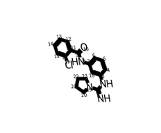 N=C(Nc1cccc(NC(=O)c2ccccc2Cl)c1)N1CCCC1